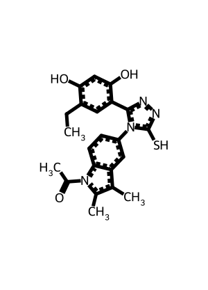 CCc1cc(-c2nnc(S)n2-c2ccc3c(c2)c(C)c(C)n3C(C)=O)c(O)cc1O